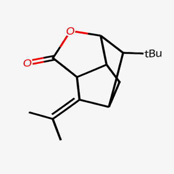 CC(C)=C1C2CC3C1C(=O)OC3C2C(C)(C)C